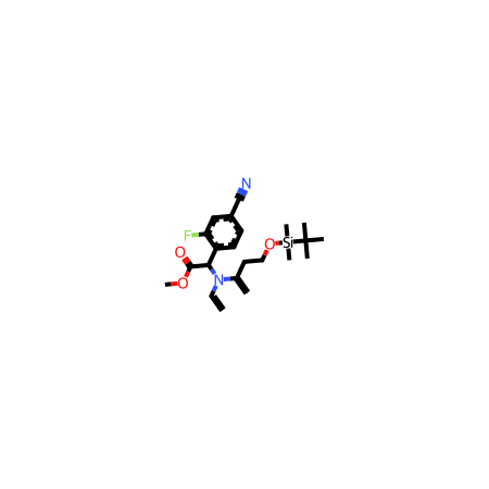 C=CN(C(=C)CCO[Si](C)(C)C(C)(C)C)C(C(=O)OC)c1ccc(C#N)cc1F